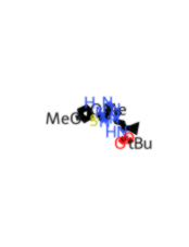 COc1ccc(OC)c(Sc2nc3c(N)ncn(CCC(NC(=O)OC(C)(C)C)C4CC4)c-3n2)c1